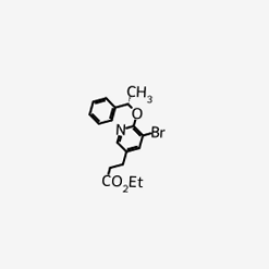 CCOC(=O)CCc1cnc(O[C@@H](C)c2ccccc2)c(Br)c1